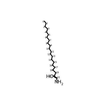 CCCCCCCCCCCCCCCCCCCC/C(O)=C/N